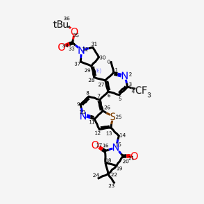 Cc1nc(C(F)(F)F)cc(-c2ccnc3cc(CN4C(=O)C5C(C4=O)C5(C)C)sc23)c1/C=C1\CCN(C(=O)OC(C)(C)C)C1